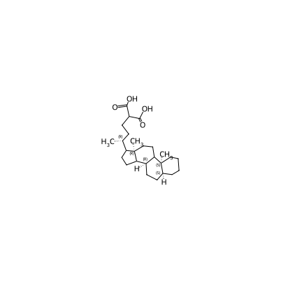 C[C@H](CCC(C(=O)O)C(=O)O)C1CCC2[C@@H]3CC[C@@H]4CCCC[C@]4(C)C3CC[C@@]21C